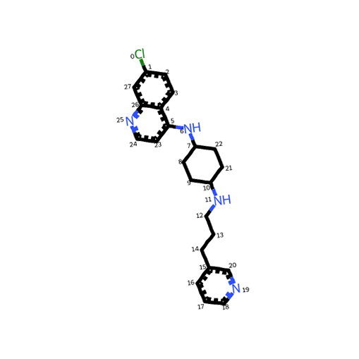 Clc1ccc2c(NC3CCC(NCCCc4cccnc4)CC3)ccnc2c1